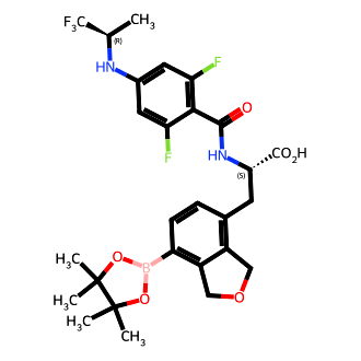 C[C@@H](Nc1cc(F)c(C(=O)N[C@@H](Cc2ccc(B3OC(C)(C)C(C)(C)O3)c3c2COC3)C(=O)O)c(F)c1)C(F)(F)F